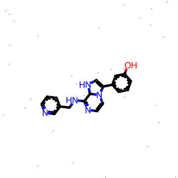 Oc1cccc(C2=CNC3C(NCc4cccnc4)=NC=CN23)c1